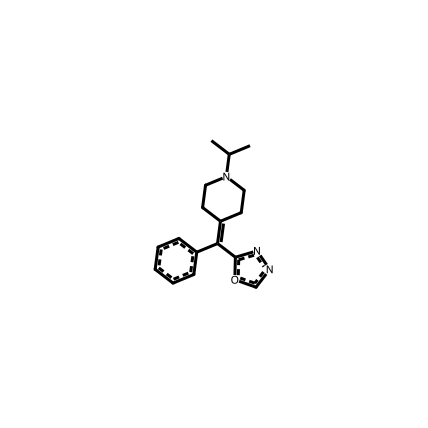 CC(C)N1CCC(=C(c2ccccc2)c2nnco2)CC1